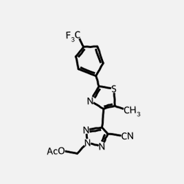 CC(=O)OCn1nc(C#N)c(-c2nc(-c3ccc(C(F)(F)F)cc3)sc2C)n1